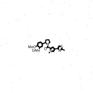 COc1ccc(C2CCCN2C(=O)c2cc(-c3csc(C)n3)cn2C)cc1OC